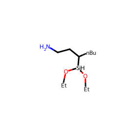 CCCCC(CCN)[SiH](OCC)OCC